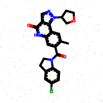 Cc1cc2c(cc1C(=O)N1CCc3cc(Cl)ccc31)[nH]c(=O)c1cnn(C3CCOC3)c12